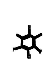 Cc1c(F)c(C)c(F)c(Cl)c1F